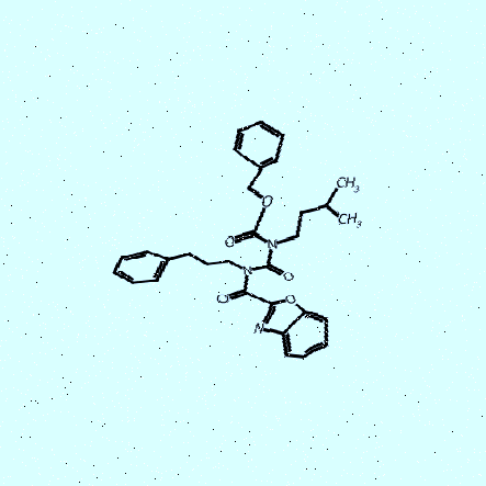 CC(C)CCN(C(=O)OCc1ccccc1)C(=O)N(CCCc1ccccc1)C(=O)c1nc2ccccc2o1